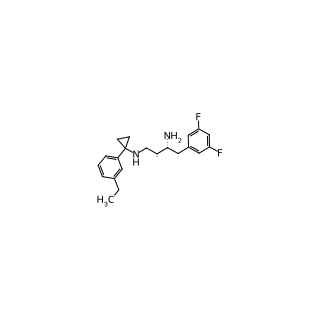 CCc1cccc(C2(NC[CH][C@H](N)Cc3cc(F)cc(F)c3)CC2)c1